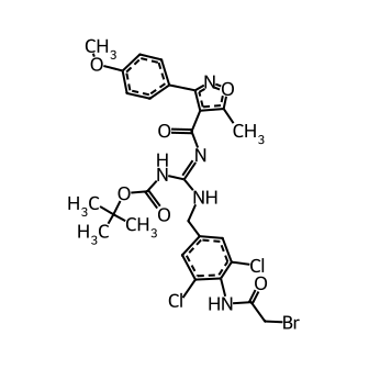 COc1ccc(-c2noc(C)c2C(=O)/N=C(/NCc2cc(Cl)c(NC(=O)CBr)c(Cl)c2)NC(=O)OC(C)(C)C)cc1